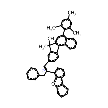 Cc1cc(C)c(-c2cc3c(c4ccccc24)-c2ccc(/C=C(/Cc4ccccc4)c4cccc5c4oc4ccccc45)cc2C3(C)C)c(C)c1